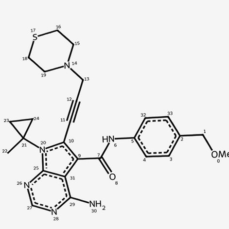 COCc1ccc(NC(=O)c2c(C#CCN3CCSCC3)n(C3(C)CC3)c3ncnc(N)c23)cc1